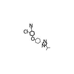 CC(C)c1cnc([C@H]2CC[C@H](Oc3ccc(C#N)c(Cl)c3)CC2)n1C